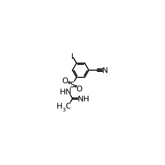 CC(=N)NS(=O)(=O)c1cc(I)cc(C#N)c1